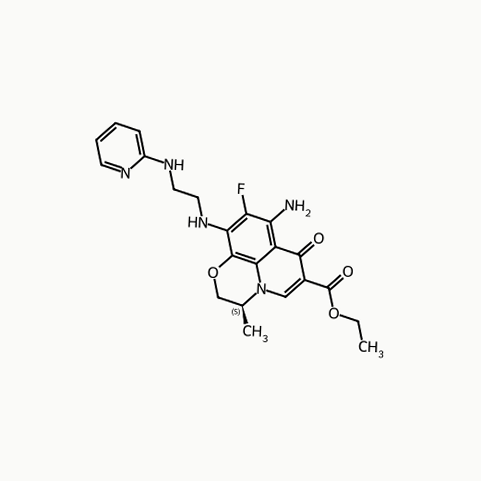 CCOC(=O)c1cn2c3c(c(NCCNc4ccccn4)c(F)c(N)c3c1=O)OC[C@@H]2C